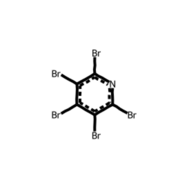 Brc1nc(Br)c(Br)c(Br)c1Br